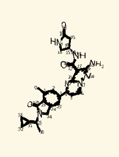 Cc1cc(-c2ccn3nc(N)c(C(=O)N[C@H]4CNC(=O)C4)c3n2)cc2c1C(=O)N(C(C)C1CC1)C2